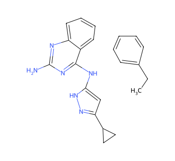 CCc1ccccc1.Nc1nc(Nc2cc(C3CC3)n[nH]2)c2ccccc2n1